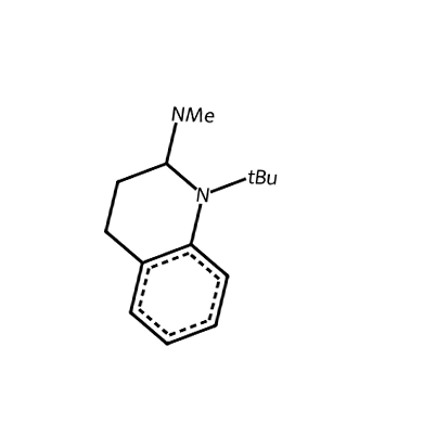 CNC1CCc2ccccc2N1C(C)(C)C